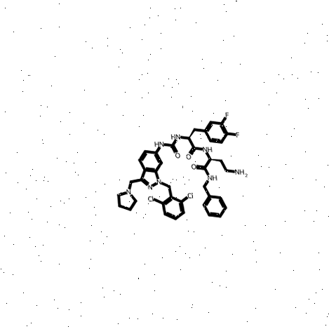 NCC[C@H](NC(=O)[C@H](Cc1ccc(F)c(F)c1)NC(=O)Nc1ccc2c(CN3CCCC3)nn(Cc3c(Cl)cccc3Cl)c2c1)C(=O)NCc1ccccc1